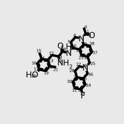 CC(=O)N1CC[C@@H](NC(=O)[C@@H](N)Cc2c(C)cc(O)cc2C)c2cc(CN3CCc4ccc(F)cc4C3)ccc21